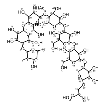 CCC1CC(O)C(C)C(OC2C(C(=O)O)OC(OC3C(CO)OC(OC4C(C(=O)O)OC(OC5C(O)C(CO)OC(OC6C(O)C(CO)OC(OC7COC(OCC(N)C(=O)O)C(O)C7O)C6O)C5O)C(O)C4O)C(NC(C)=O)C3O)C(O)C2O)O1